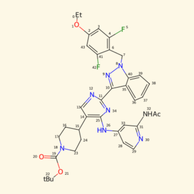 CCOc1cc(F)c(Cn2nc(-c3ncc(C4CCN(C(=O)OC(C)(C)C)CC4)c(Nc4ccnc(NC(C)=O)c4)n3)c3ccccc32)c(F)c1